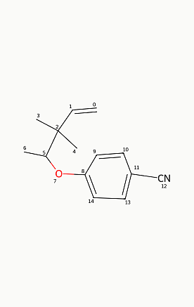 C=CC(C)(C)C(C)Oc1ccc(C#N)cc1